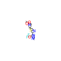 Cc1cn2nc(-c3cnc4cc([C@H]5CCN(C(=O)OC(C)(C)C)C6(CC6)C5)sc4c3)cc(OC(F)F)c2n1